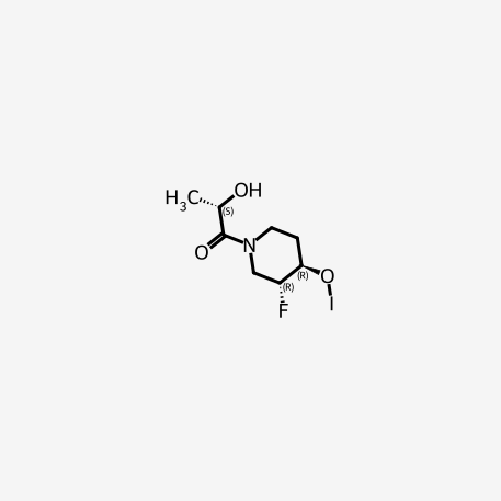 C[C@H](O)C(=O)N1CC[C@@H](OI)[C@H](F)C1